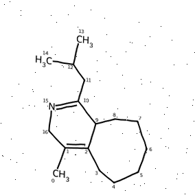 CC1=C2CCCCCCC2C(CC(C)C)=NC1